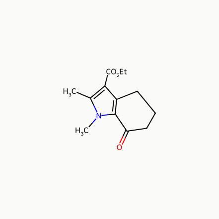 CCOC(=O)c1c2c(n(C)c1C)C(=O)CCC2